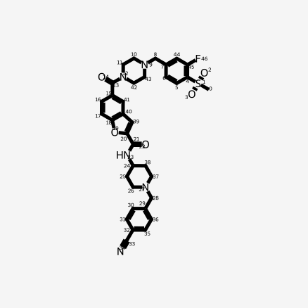 CS(=O)(=O)c1ccc(CN2CCN(C(=O)c3ccc4oc(C(=O)NC5CCN(Cc6ccc(C#N)cc6)CC5)cc4c3)CC2)cc1F